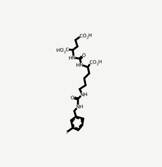 O=C(O)CCC(NC(=O)NC(CCCCNC(=O)NCc1cccc(I)c1)C(=O)O)C(=O)O